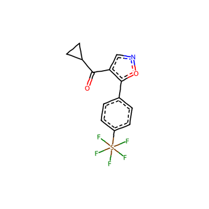 O=C(c1cnoc1-c1ccc(S(F)(F)(F)(F)F)cc1)C1CC1